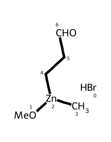 Br.C[O][Zn]([CH3])[CH2]CC=O